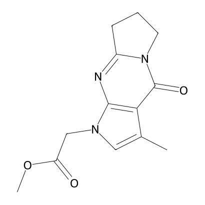 COC(=O)Cn1cc(C)c2c(=O)n3c(nc21)CCC3